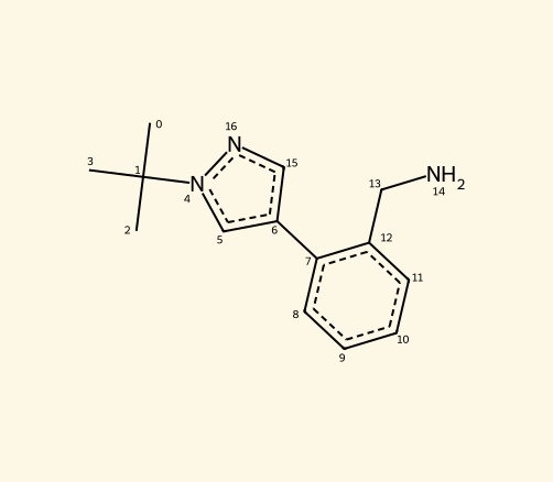 CC(C)(C)n1cc(-c2ccccc2CN)cn1